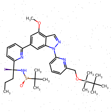 CCC[C@@](I)(N[S@+]([O-])C(C)(C)C)c1cccc(-c2cc(OC)c3cnn(-c4cccc(CO[Si](C)(C)C(C)(C)C)n4)c3c2)n1